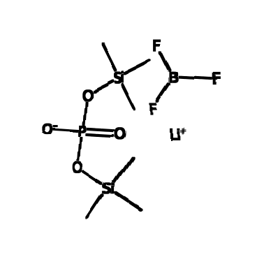 C[Si](C)(C)OP(=O)([O-])O[Si](C)(C)C.FB(F)F.[Li+]